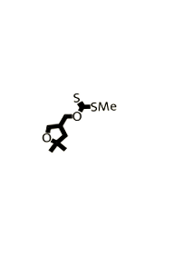 CSC(=S)OCC1COC(C)(C)C1